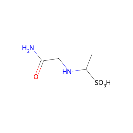 CC(NCC(N)=O)S(=O)(=O)O